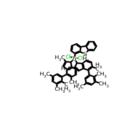 CC1=Cc2c(ccc(C)c2-c2cc(C)cc(C)c2C)[CH]1[Zr]([Cl])([Cl])([c]1cccc2c1[SiH2]c1ccccc1-2)[CH]1C(C)=Cc2c1ccc(C)c2-c1cc(C)cc(C)c1C